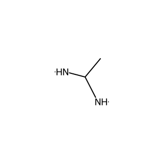 CC([NH])[NH]